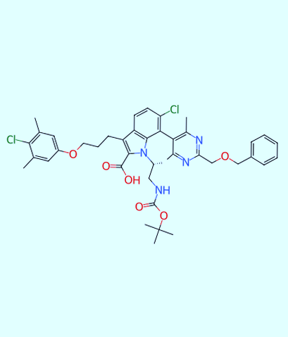 Cc1cc(OCCCc2c(C(=O)O)n([C@H](C)CNC(=O)OC(C)(C)C)c3c(-c4c(C)nc(COCc5ccccc5)nc4C)c(Cl)ccc23)cc(C)c1Cl